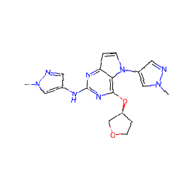 Cn1cc(Nc2nc(O[C@H]3CCOC3)c3c(ccn3-c3cnn(C)c3)n2)cn1